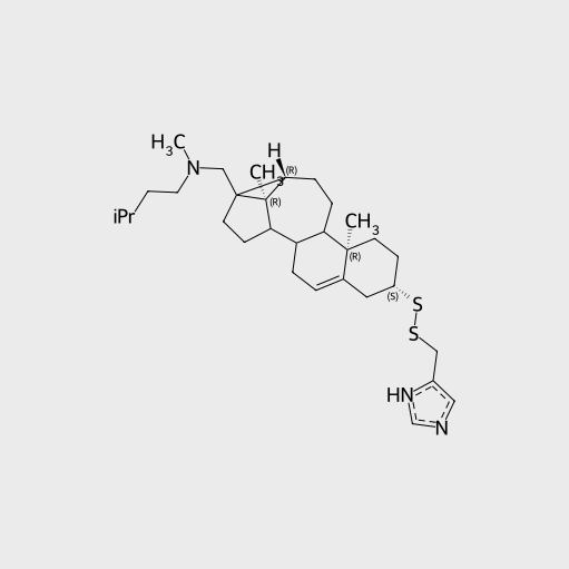 CC(C)CCN(C)CC12CCC3C4CC=C5C[C@@H](SSCc6cnc[nH]6)CC[C@]5(C)C4CC[C@@H]1[C@@]32C